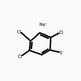 [Na+].[S-]c1cc(Cl)c(Cl)cc1Cl